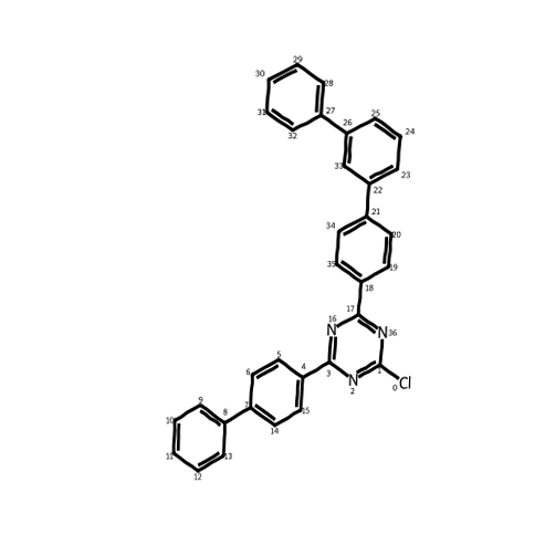 Clc1nc(-c2ccc(-c3ccccc3)cc2)nc(-c2ccc(-c3cccc(-c4ccccc4)c3)cc2)n1